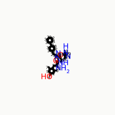 Cc1cc(O)cc(C)c1CC(N)C(=O)N[C@@H](Cc1c[nH]cn1)c1nc(Cc2ccc(-c3ccccc3)cc2)no1